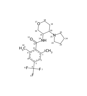 Cc1cc(C(F)(F)F)cc(C)c1C(=O)NC1COCCC1N1CCCC1